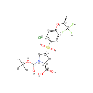 C[C@H](Oc1ccc(S(=O)(=O)[C@@H]2C[C@@H](C(=O)O)N(C(=O)OC(C)(C)C)C2)c(Cl)c1)C(F)(F)F